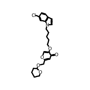 O=c1cc(COC2CCCCO2)occ1OCCCCCn1ccc2ccc(Cl)cc21